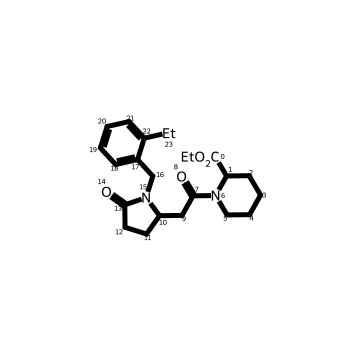 CCOC(=O)C1CCCCN1C(=O)CC1CCC(=O)N1Cc1ccccc1CC